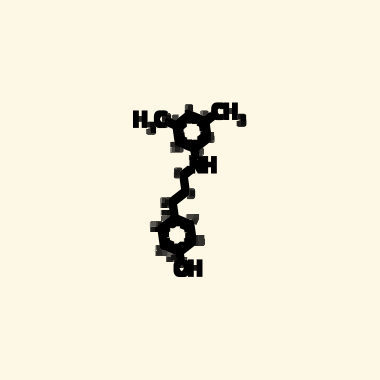 Cc1cc(C)cc(NCCCc2ccc(O)cc2)c1